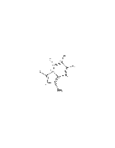 Cc1nc2c(N)nc(C)n2c(C)c1C